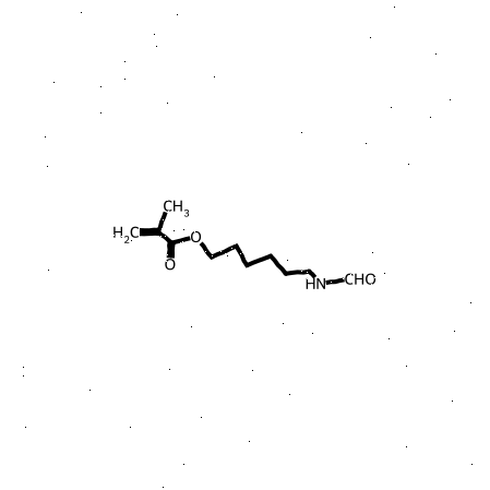 C=C(C)C(=O)OCCCCCCNC=O